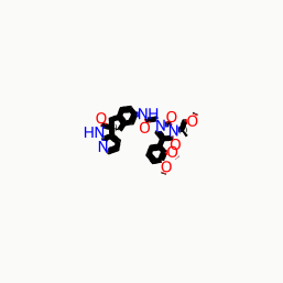 COC[C@@H](C)n1c(=O)c(-c2cccc(OC)c2OC)cn(CC(=O)Nc2ccc3c(c2)C[C@@]2(C3)C(=O)Nc3ncccc32)c1=O